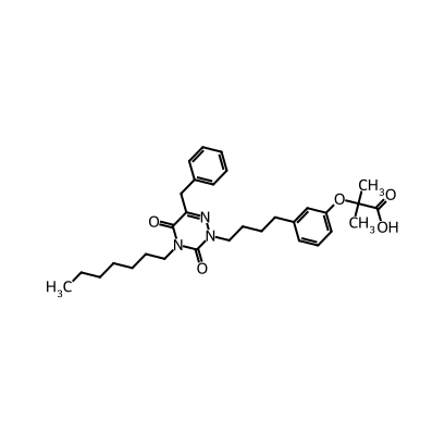 CCCCCCCn1c(=O)c(Cc2ccccc2)nn(CCCCc2cccc(OC(C)(C)C(=O)O)c2)c1=O